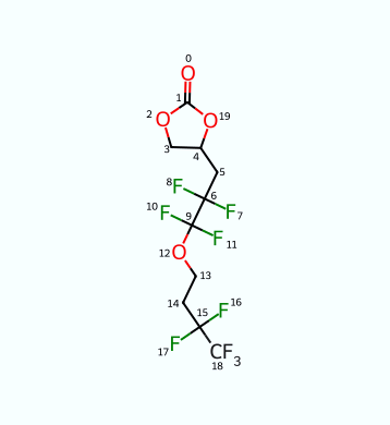 O=C1OCC(CC(F)(F)C(F)(F)OCCC(F)(F)C(F)(F)F)O1